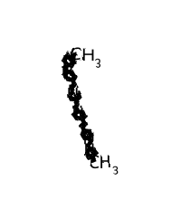 CC1CCN(CCN2CCC(CCC3CCN(CCC4CCN(CCC5CCN(CC6CCN(C)CC6)CC5)CC4)CC3)CC2)CC1